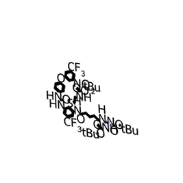 CC(C)(C)OC(=O)/N=C(/NCCCCC(=O)Nc1cc(C(F)(F)F)cc(NC(=O)Nc2ccc(Oc3cc([N+](=O)[O-])cc(C(F)(F)F)c3)cc2)c1SCCNC(=O)OC(C)(C)C)NC(=O)OC(C)(C)C